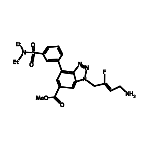 CCN(CC)S(=O)(=O)c1cccc(-c2cc(C(=O)OC)cc3c2nnn3C/C(F)=C/CN)c1